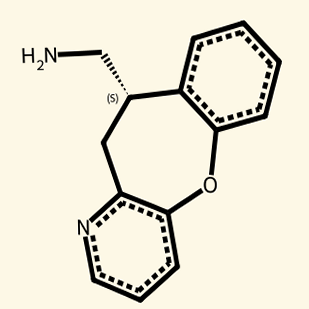 NC[C@H]1Cc2ncccc2Oc2ccccc21